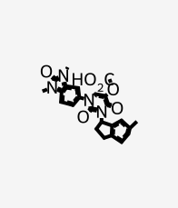 Cc1ccc2c(c1)C(n1c(=O)c(OC(=O)O)cn(-c3ccc4c(c3)n(C)c(=O)n4C)c1=O)CC2